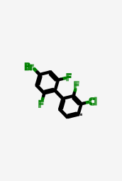 Fc1cc(Br)cc(F)c1-c1cc[c]c(Cl)c1F